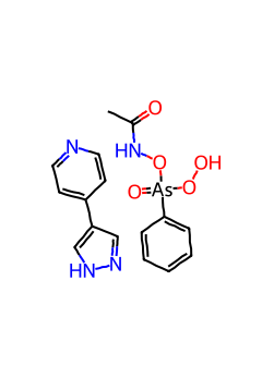 CC(=O)NO[As](=O)(OO)c1ccccc1.c1cc(-c2cn[nH]c2)ccn1